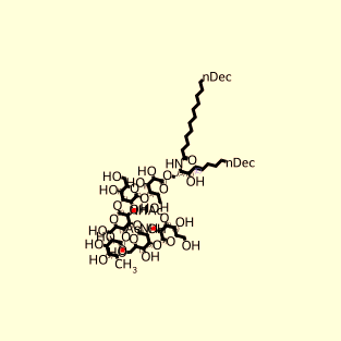 CCCCCCCCCCCCC/C=C/[C@@H](O)[C@H](CO[C@@H]1OC(CO)[C@@H](O[C@@H]2OC(CO)[C@H](O)[C@H](O[C@@H]3OC(CO)[C@@H](O[C@H]4OC(C)[C@@H](O)C(O)[C@@H]4O)[C@H](O[C@@H]4OC(CO)[C@H](O)[C@H](O[C@@H]5OC(CO)[C@@H](O)[C@H](O)C5NC(C)=O)C4O)C3NC(C)=O)C2O)[C@H](O)C1O)NC(=O)CCCCCCCCCCCCCCCCCCCCC